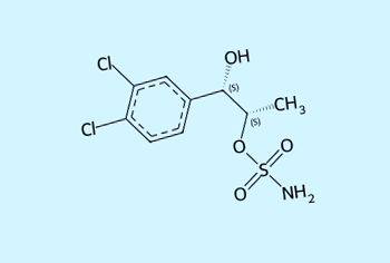 C[C@H](OS(N)(=O)=O)[C@@H](O)c1ccc(Cl)c(Cl)c1